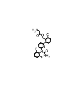 NCC(=O)OCc1c(Cl)cccc1-c1cccc(N(C(N)=O)c2c(F)cccc2F)n1